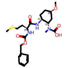 CO[C@@H]1CC[C@H](NC(=O)[C@H](CCSC)NC(=O)OCc2ccccc2)[C@@H](N(C)C(=O)O)C1